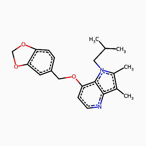 Cc1c(C)n(CC(C)C)c2c(OCc3ccc4c(c3)OCO4)ccnc12